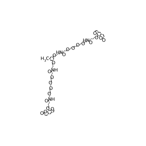 Cc1cc(OCCCNC(=O)CCOCCOCCOCCOCCNC(=O)CCCOc2c3occc3cc3ccc(=O)oc23)cc(OCCCNC(=O)CCOCCOCCOCCOCCNC(=O)CCCOc2c3occc3cc3ccc(=O)oc23)c1